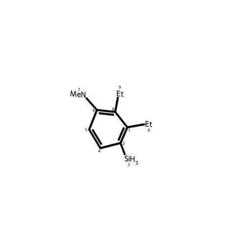 CCc1c([SiH3])ccc(NC)c1CC